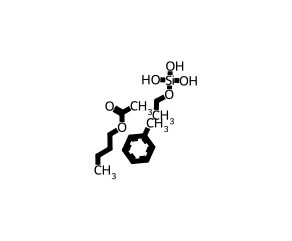 CCCCOC(C)=O.CCO[Si](O)(O)O.Cc1ccccc1